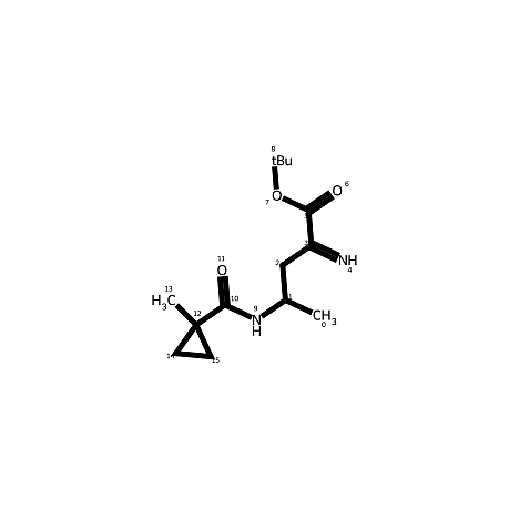 CC(CC(=N)C(=O)OC(C)(C)C)NC(=O)C1(C)CC1